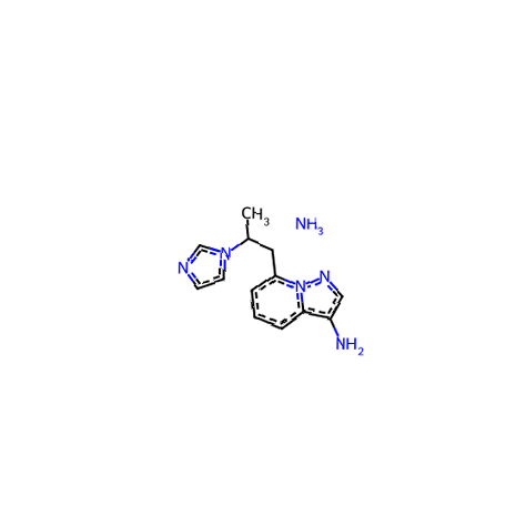 CC(Cc1cccc2c(N)cnn12)n1ccnc1.N